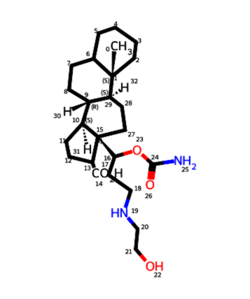 C[C@]12CCCCC1CC[C@H]1[C@@H]3CCC(C(=O)O)[C@@]3(C(CCNCCO)OC(N)=O)CC[C@@H]12